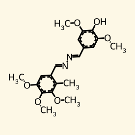 COc1cc(C=NN=Cc2cc(OC)c(OC)c(OC)c2C)cc(OC)c1O